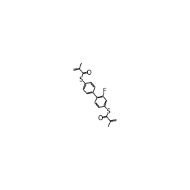 C=C(C)C(=O)Sc1ccc(-c2ccc(SC(=O)C(=C)C)cc2F)cc1